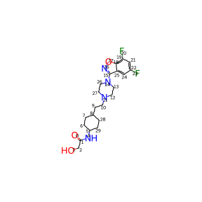 O=C(CO)NC1CCC(CCN2CCN(c3noc4c(F)cc(F)cc34)CC2)CC1